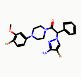 COc1cc(N2CCN(C(=O)C(c3ccccc3)n3cc(Br)c(N)n3)CC2)ccc1Br